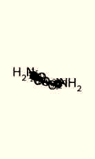 Nc1ccc(OCCOCC(=O)Oc2ccc(N)cc2)cc1